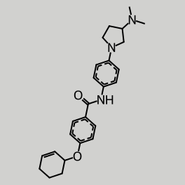 CN(C)C1CCN(c2ccc(NC(=O)c3ccc(OC4C=CCCC4)cc3)cc2)C1